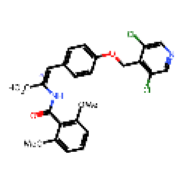 COc1cccc(OC)c1C(=O)N/C(=C\c1ccc(OCc2c(Cl)cncc2Cl)cc1)C(=O)O